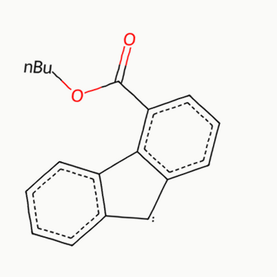 CCCCOC(=O)c1cccc2c1-c1ccccc1[C]2